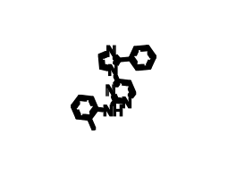 Cc1ccccc1Nc1nccc(-n2ccnc2-c2ccccc2)n1